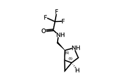 O=C(NC[C@H]1NC[C@H]2CC21)C(F)(F)F